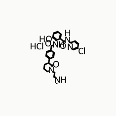 CNCCN1CCCC(c2ccc(C(=O)Nc3c(O)cccc3C(=O)Nc3ccc(Cl)cn3)cc2)C1=O.Cl